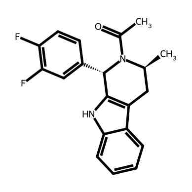 CC(=O)N1[C@@H](c2ccc(F)c(F)c2)c2[nH]c3ccccc3c2C[C@@H]1C